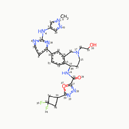 Cn1cc(Nc2nccc(-c3ccc4c(c3)CN(CCO)CC[C@H]4NC(=O)c3nnc(C4CC(F)(F)C4)o3)n2)cn1